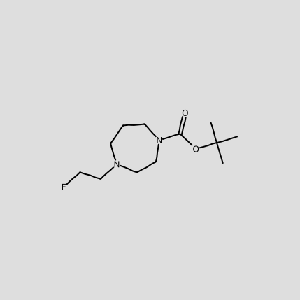 CC(C)(C)OC(=O)N1CCCN(CCF)CC1